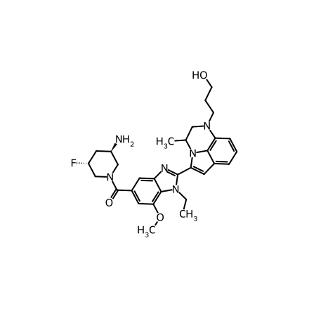 CCn1c(-c2cc3cccc4c3n2C(C)CN4CCCO)nc2cc(C(=O)N3C[C@H](N)C[C@@H](F)C3)cc(OC)c21